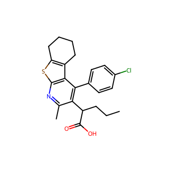 CCCC(C(=O)O)c1c(C)nc2sc3c(c2c1-c1ccc(Cl)cc1)CCCC3